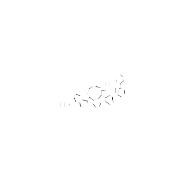 Cc1cccc2c1=CCCC=2/C1=c2\cccc\c2=C(/c2cccc(-c3cccc(C4=CC=CCC4)n3)c2)C(C)/C=C\C=C/C1